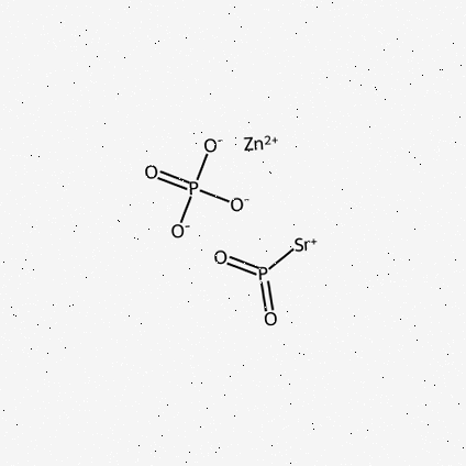 O=P([O-])([O-])[O-].O=[P](=O)[Sr+].[Zn+2]